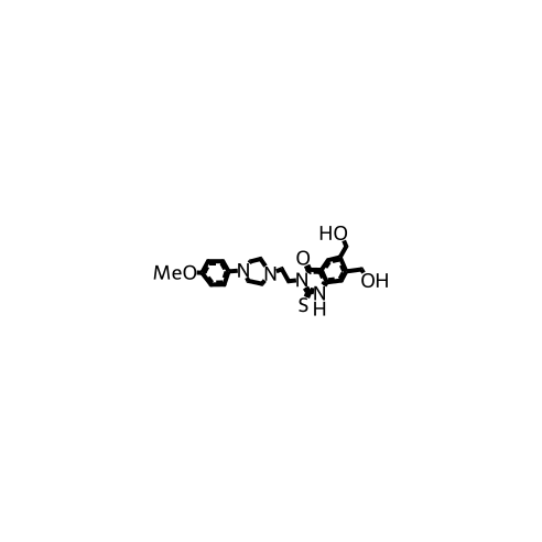 COc1ccc(N2CCN(CCn3c(=S)[nH]c4cc(CO)c(CO)cc4c3=O)CC2)cc1